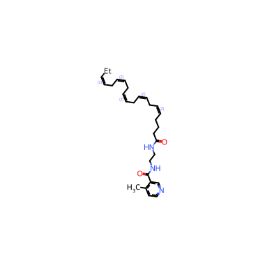 CC/C=C\C/C=C\C/C=C\C/C=C\C/C=C\CCCC(=O)NCCNC(=O)c1cnccc1C